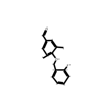 Cc1cc(C=O)cc(C)c1OCc1ccccc1F